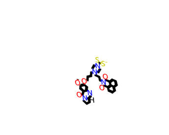 COc1cc2c(cc1OCCCC[N+]1(CCCN3C(=O)c4cccc5cccc(c45)C3=O)CCN(C(=S)[S-])CC1)N=C[C@@H]1CCCN1C2=O